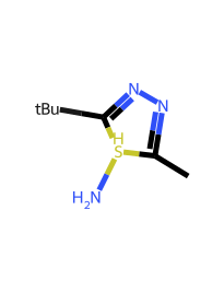 CC1=NN=C(C(C)(C)C)[SH]1N